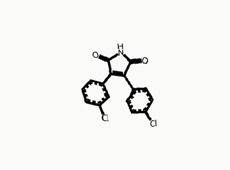 O=C1NC(=O)C(c2cccc(Cl)c2)=C1c1ccc(Cl)cc1